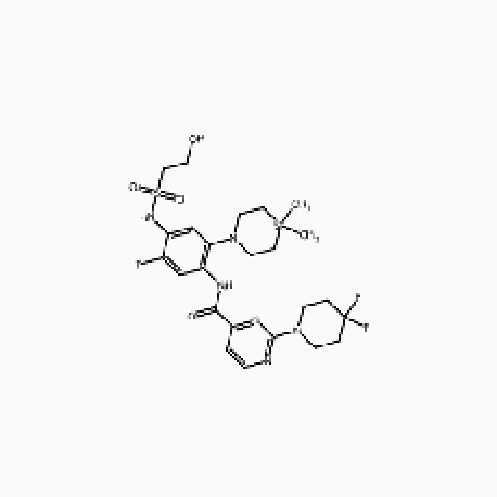 C[Si]1(C)CCN(c2cc(NS(=O)(=O)CCO)c(F)cc2NC(=O)c2ccnc(N3CCC(F)(F)CC3)n2)CC1